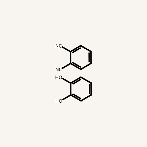 N#Cc1ccccc1C#N.Oc1ccccc1O